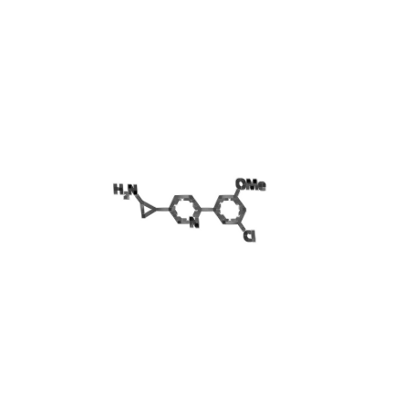 COc1cc(Cl)cc(-c2ccc(C3CC3N)cn2)c1